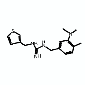 Cc1ccc(CNC(=N)NCc2ccsc2)cc1N(C)C